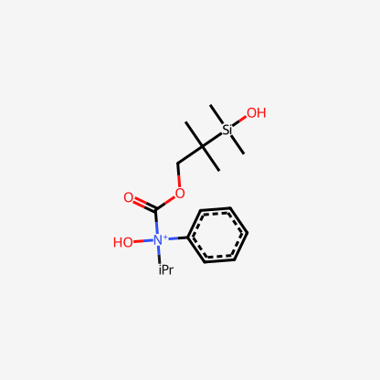 CC(C)[N+](O)(C(=O)OCC(C)(C)[Si](C)(C)O)c1ccccc1